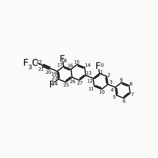 Fc1cc(-c2ccccc2)ccc1-c1ccc2c(F)c(C#CC(F)(F)F)c(F)cc2c1